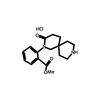 COC(=O)c1ccccc1N1CC2(CCNCC2)CCC1=O.Cl